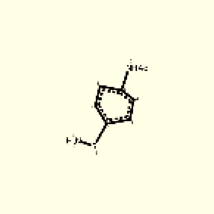 CC(=O)Nc1ccc(SN)cc1